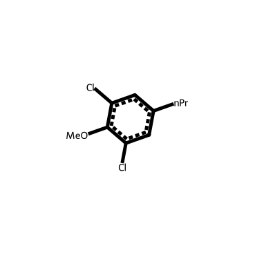 CCCc1cc(Cl)c(OC)c(Cl)c1